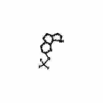 FC(F)(F)Oc1ccc2ccc3cc[nH]c3c2n1